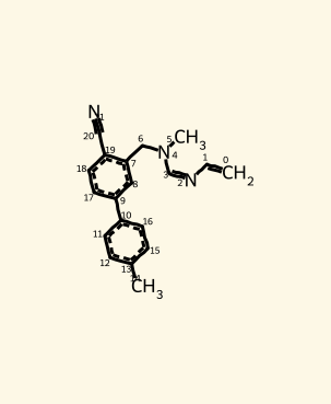 C=C/N=C\N(C)Cc1cc(-c2ccc(C)cc2)ccc1C#N